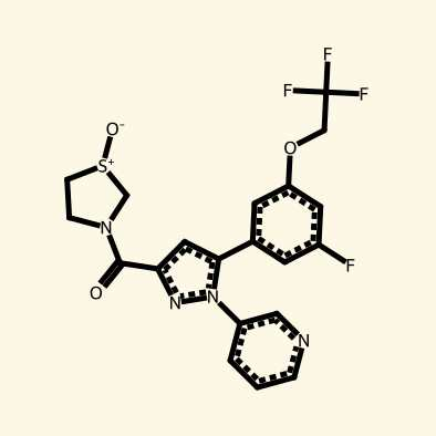 O=C(c1cc(-c2cc(F)cc(OCC(F)(F)F)c2)n(-c2cccnc2)n1)N1CC[S+]([O-])C1